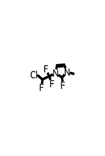 CN1C=CN(C(F)(F)C(F)Cl)C1F